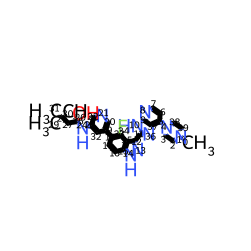 CN1CCN(c2ccnc3[nH]c(-c4n[nH]c5ccc(-c6cncc(NC(O)CC(C)(C)C)c6)c(F)c45)nc23)CC1